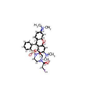 CN(C)c1ccc2c(-c3ccccc3S(=O)(=O)N3CCN(C(=O)CI)CC3)c3ccc(=[N+](C)C)cc-3oc2c1